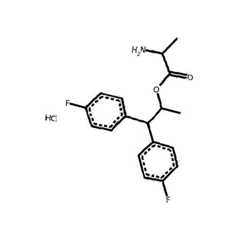 CC(N)C(=O)OC(C)C(c1ccc(F)cc1)c1ccc(F)cc1.Cl